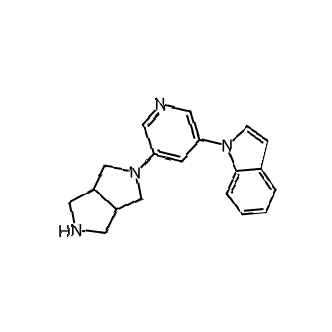 c1ccc2c(c1)ccn2-c1cncc(N2CC3CNCC3C2)c1